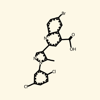 Cc1c(-c2cc(C(=O)O)c3cc(Br)ccc3n2)cnn1-c1cc(Cl)ccc1Cl